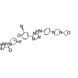 N#Cc1cc(-c2ncnc(Nc3ccc(N4CCN(C5COC5)CC4)cc3)n2)ccc1O[C@H]1CCN(C(=O)c2cnn[nH]2)C[C@@H]1F